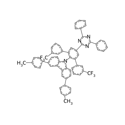 Cc1ccc(-c2ccc3c(c2)c2cc(-c4ccc(C)cc4)ccc2n3-c2c(-c3cccc(C(F)(F)F)c3)cc(-c3nc(-c4ccccc4)nc(-c4ccccc4)n3)cc2-c2cccc(C(F)(F)F)c2)cc1